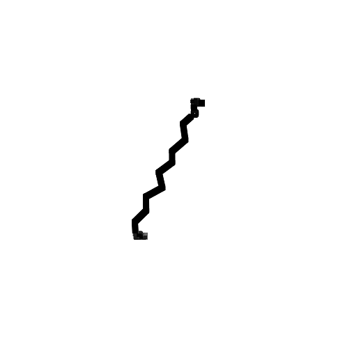 CC(C)(C)CCCCCCCCCOC(C)(C)C